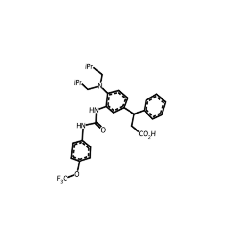 CC(C)CN(CC(C)C)c1ccc(C(CC(=O)O)c2ccccc2)cc1NC(=O)Nc1ccc(OC(F)(F)F)cc1